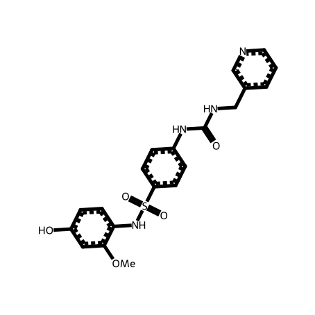 COc1cc(O)ccc1NS(=O)(=O)c1ccc(NC(=O)NCc2cccnc2)cc1